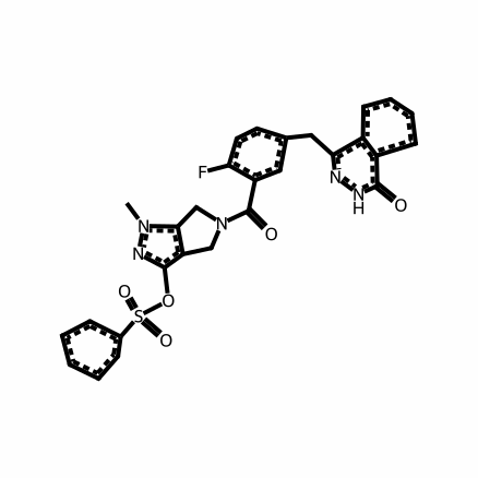 Cn1nc(OS(=O)(=O)c2ccccc2)c2c1CN(C(=O)c1cc(Cc3n[nH]c(=O)c4ccccc34)ccc1F)C2